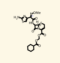 CO/N=C(\C(=O)NC1C(=O)N2C(C(=O)OCOC(=O)C3CCCCC3)=CCS[C@H]12)c1csc(N)n1